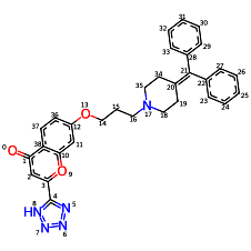 O=c1cc(-c2nnn[nH]2)oc2cc(OCCCN3CCC(=C(c4ccccc4)c4ccccc4)CC3)ccc12